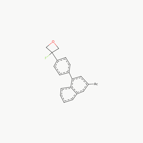 CC(=O)c1cc(-c2ccc(C3(F)COC3)cc2)c2ccccc2c1